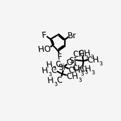 CC(C)(C)[Si](C)(C)O[Si](C)(C)C(C)(C)C.Oc1c(F)cc(Br)cc1F